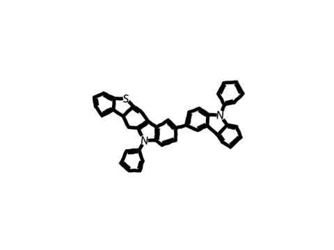 C1=C2Sc3ccccc3C2Cc2c1c1cc(-c3ccc4c(c3)c3ccccc3n4-c3ccccc3)ccc1n2-c1ccccc1